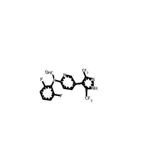 O=CN(c1ccc(-c2c(C(F)(F)F)n[nH]c2C(F)(F)F)cn1)c1c(F)cccc1F